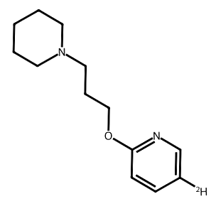 [2H]c1ccc(OCCCN2CCCCC2)nc1